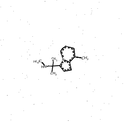 CNC(C)(C)c1ccc2c(C)cccn12